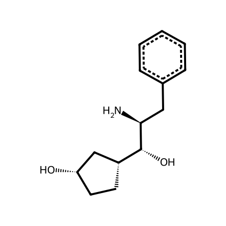 N[C@@H](Cc1ccccc1)[C@H](O)[C@@H]1CC[C@H](O)C1